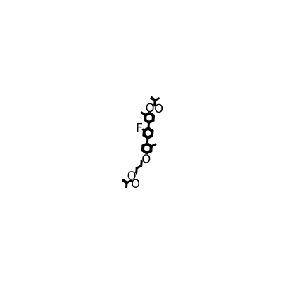 C=C(C)C(=O)OCCCCOc1ccc(-c2ccc(-c3ccc(OC(=O)C(=C)C)c(C)c3)c(F)c2)c(C)c1